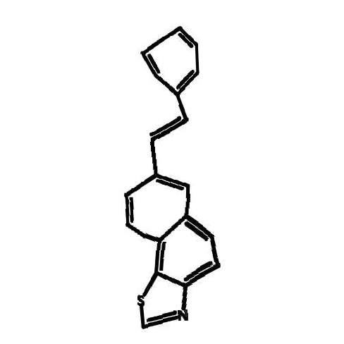 C(=Cc1ccc2c(ccc3ncsc32)c1)c1ccccc1